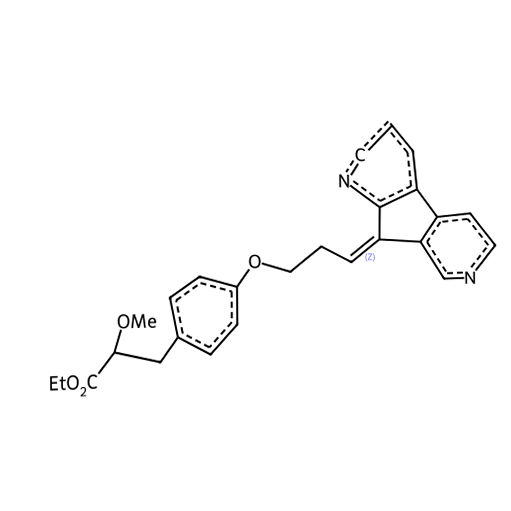 CCOC(=O)C(Cc1ccc(OCC/C=C2/c3cnccc3-c3cccnc32)cc1)OC